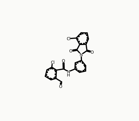 O=Cc1cccc(Cl)c1C(=O)Nc1cccc(N2C(=O)c3cccc(Cl)c3C2=O)c1